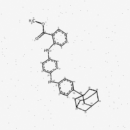 COC(=O)c1ccccc1Nc1ccc(Nc2ccc(C34CC5CC(CC(C5)C3)C4)cc2)nc1